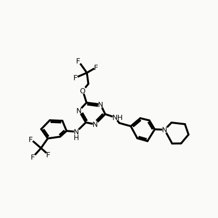 FC(F)(F)COc1nc(NCc2ccc(N3CCCCC3)cc2)nc(Nc2cccc(C(F)(F)F)c2)n1